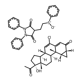 CC(=O)[C@@]1(O)CC[C@H]2[C@@H]3C=C(Cl)C4=CC(=O)[C@@H]5C[C@@H]5[C@]4(C)[C@H]3CC[C@@]21C.O=C1C(CC[S+]([O-])c2ccccc2)C(=O)N(c2ccccc2)N1c1ccccc1